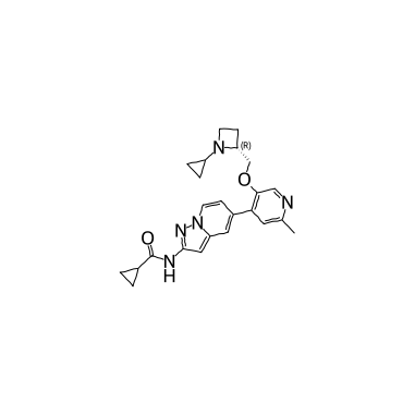 Cc1cc(-c2ccn3nc(NC(=O)C4CC4)cc3c2)c(OC[C@H]2CCN2C2CC2)cn1